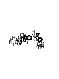 [2H]C1([2H])Oc2ccc(C3(C(=O)NC4C=Cc5c(cc(C(C)(C)C)n5C[C@@H]5COC(C)(C)O5)C4)CC3)cc2O1